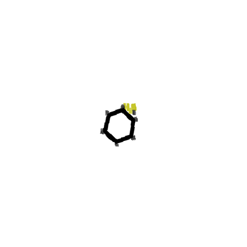 C1CCCCC1.S